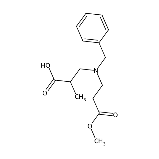 COC(=O)CCN(Cc1ccccc1)CC(C)C(=O)O